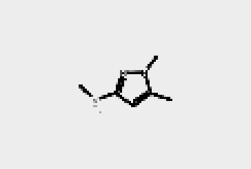 C[SiH2]c1cc(C)n(C)n1